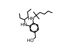 CCCCC(C)(C)Nc1ccc(CO)cc1NC(CC)CCC